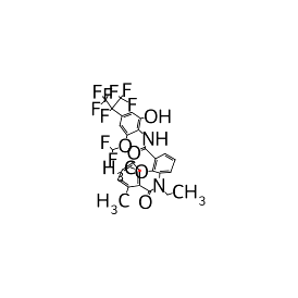 CCN(C(=O)c1ccccc1C)c1cccc(C(=O)Nc2c(O)cc(C(F)(C(F)(F)F)C(F)(F)F)cc2OC(F)F)c1OC